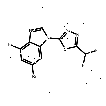 Fc1cc(Br)cc2c1ncn2-c1nnc(C(F)F)s1